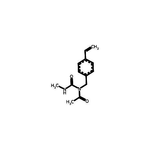 C=Cc1ccc(CN(C(C)=O)C(=O)NC)cc1